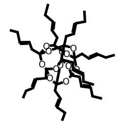 CC/C=C/CC12OC3(C/C=C/CC)OC4(C/C=C/CC)OC(C/C=C/CC)(O1)OC1(C/C=C/CC)OC(C/C=C/CC)(O2)OC(C/C=C/CC)(O3)OC(C/C=C/CC)(O4)O1